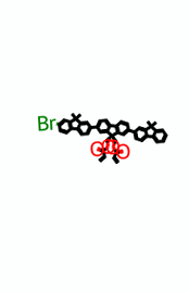 C=CC(=O)OCC1(COC(=O)C=C)c2cc(-c3ccc4c(c3)C(C)(C)c3ccccc3-4)ccc2-c2ccc(-c3ccc4c(c3)C(C)(C)c3cc(Br)ccc3-4)cc21